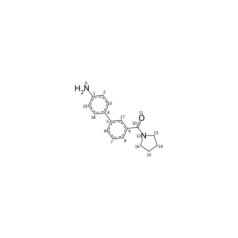 Nc1ccc(-c2cccc(C(=O)N3CCCC3)c2)cc1